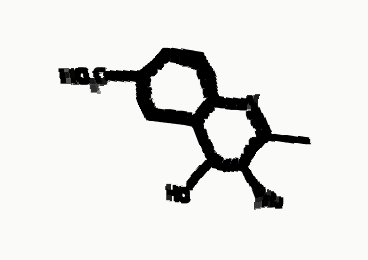 CCCCc1c(C)nc2ccc(C(=O)OCC)cc2c1O